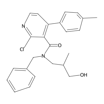 Cc1ccc(-c2ccnc(Cl)c2C(=O)N(Cc2ccccc2)CC(C)CO)cc1